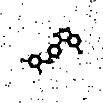 COc1ccc(Br)cc1C(O)c1ccc(Nc2ccc(F)cc2F)nc1